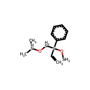 C=C[Si](O[SiH3])([SiH2]O[SiH](C)C)c1ccccc1